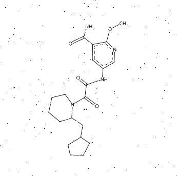 COc1ncc(NC(=O)C(=O)N2CCCCC2CC2CCCC2)cc1C(N)=O